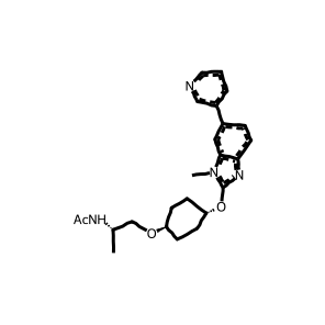 CC(=O)N[C@@H](C)CO[C@H]1CC[C@H](Oc2nc3ccc(-c4cccnc4)cc3n2C)CC1